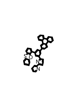 c1ccc(-c2cccc(-c3cc(-c4ccc5c6ccccc6c6ccccc6c5c4)cc(-c4cccc5c4Oc4ccccc4S5)c3)n2)nc1